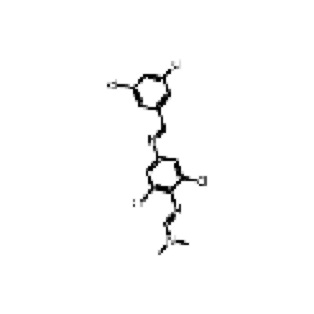 CN(C)C=Nc1c(Cl)cc(N=Cc2cc(Cl)cc(Cl)c2)cc1Cl